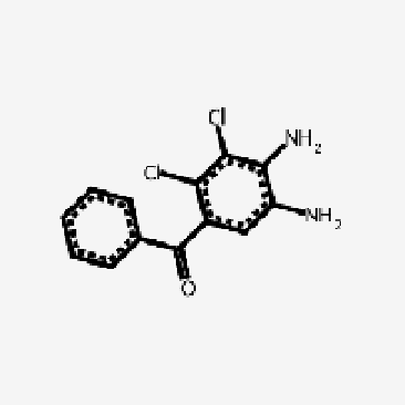 Nc1cc(C(=O)c2ccccc2)c(Cl)c(Cl)c1N